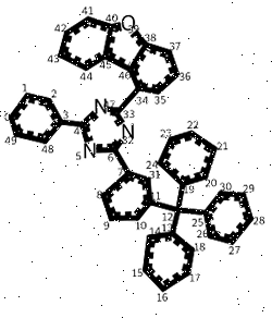 c1ccc(-c2nc(-c3cccc(C(c4ccccc4)(c4ccccc4)c4ccccc4)c3)nc(-c3cccc4oc5ccccc5c34)n2)cc1